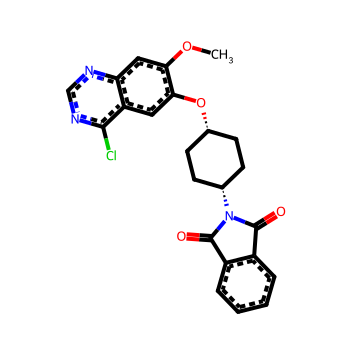 COc1cc2ncnc(Cl)c2cc1O[C@H]1CC[C@@H](N2C(=O)c3ccccc3C2=O)CC1